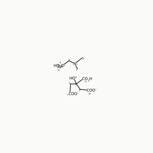 CN(C)CC(=O)O.O=C([O-])CC(O)(CC(=O)[O-])C(=O)O.[Zn+2]